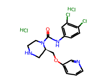 Cl.Cl.O=C(Nc1ccc(Cl)c(Cl)c1)N1CCNC[C@@H]1COc1cccnc1